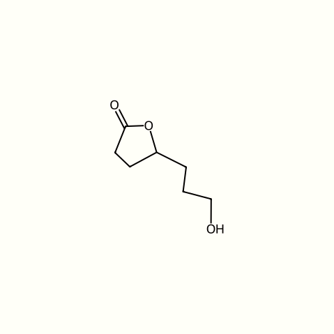 O=C1CCC(CCCO)O1